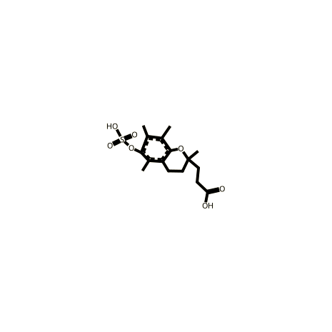 Cc1c(C)c2c(c(C)c1OS(=O)(=O)O)CCC(C)(CCC(=O)O)O2